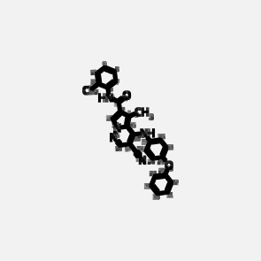 Cc1c(C(=O)Nc2ccccc2Cl)cn2ncc(C#N)c(Nc3ccc(Oc4ccccc4)cc3)c12